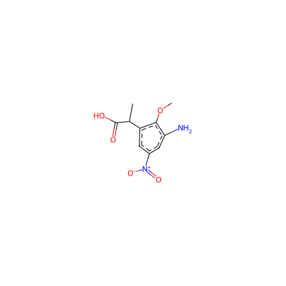 COc1c(N)cc([N+](=O)[O-])cc1C(C)C(=O)O